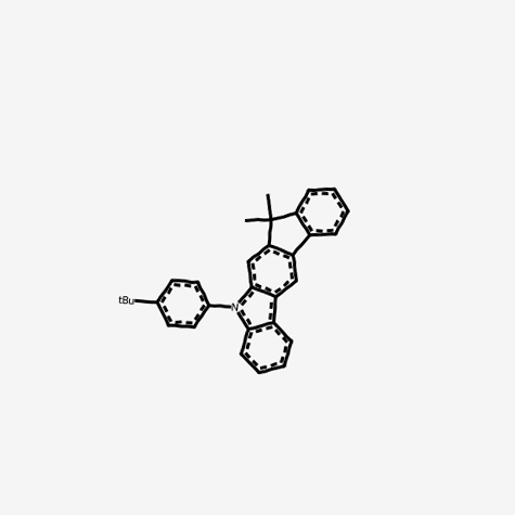 CC(C)(C)c1ccc(-n2c3ccccc3c3cc4c(cc32)C(C)(C)c2ccccc2-4)cc1